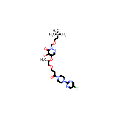 C[C@@H](COCCC(=O)N1CCN(c2ncc(Cl)cn2)CC1)Oc1cnn(COCC[Si](C)(C)C)c(=O)c1Br